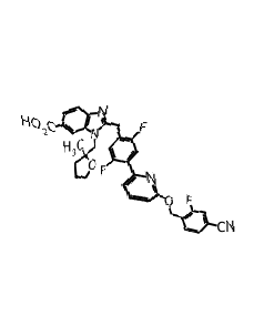 C[C@]1(Cn2c(Cc3cc(F)c(-c4cccc(OCc5ccc(C#N)cc5F)n4)cc3F)nc3ccc(C(=O)O)cc32)CCCO1